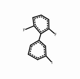 Fc1cccc(F)c1-c1cc[c]c(I)c1